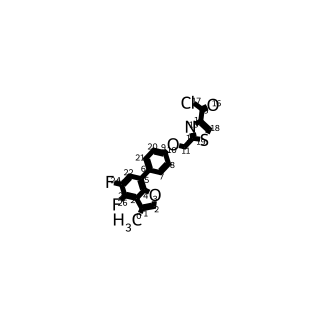 Cc1coc2c(-c3ccc(OCc4nc(C(=O)Cl)cs4)cc3)cc(F)c(F)c12